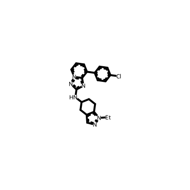 CCn1ncc2c1CCC(Nc1nc3c(-c4ccc(Cl)cc4)cccn3n1)C2